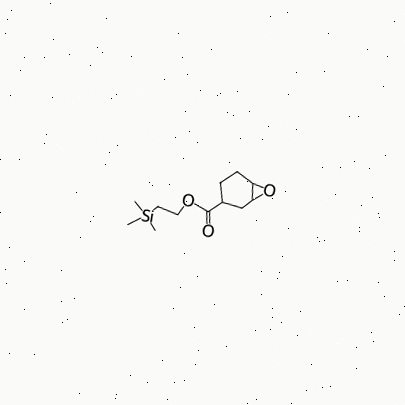 C[Si](C)(C)CCOC(=O)C1CCC2OC2C1